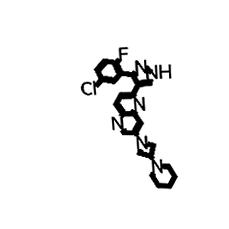 Fc1ccc(Cl)cc1-c1n[nH]cc1-c1ccc2ncc(N3CC(N4CCCCC4)C3)cc2n1